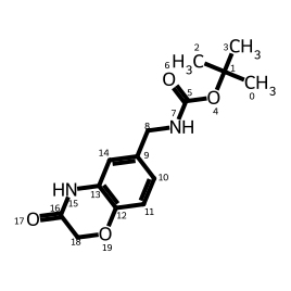 CC(C)(C)OC(=O)NCc1ccc2c(c1)NC(=O)CO2